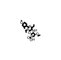 CCO[C@H]1CN(C(=O)O)C[C@H]1Nc1c(CC)nc(-c2ccc(OC)cc2C)n(CC)c1=O